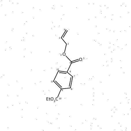 C=CCOC(=O)c1ccc(C(=O)OCC)cc1